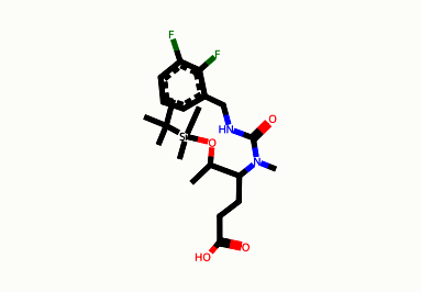 CC(O[Si](C)(C)C(C)(C)C)C(CCC(=O)O)N(C)C(=O)NCc1cccc(F)c1F